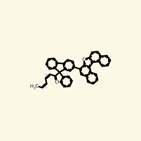 C=C(/C=C\C=C/C)C1(c2ccccc2)c2ccccc2-c2ccc(-c3cc4ccccc4c4c3oc3ccc5ccccc5c34)cc21